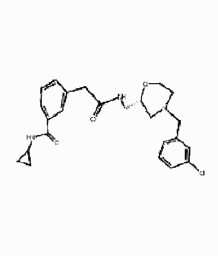 O=C(Cc1cccc(C(=O)NC2CC2)c1)NC[C@H]1CN(Cc2cccc(Cl)c2)CCO1